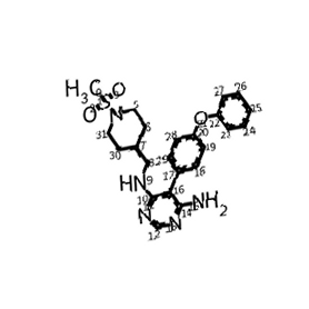 CS(=O)(=O)N1CCC(CNc2ncnc(N)c2-c2ccc(Oc3ccccc3)cc2)CC1